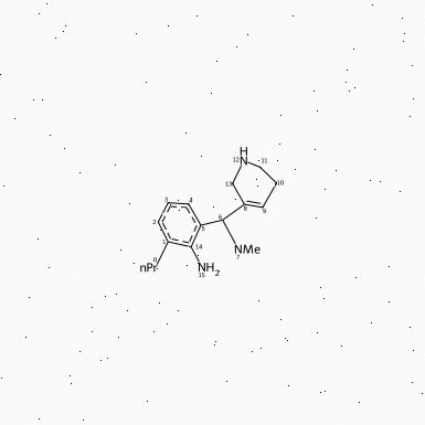 CCCc1cccc(C(NC)C2=CCCNC2)c1N